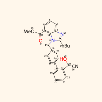 CCCCc1nc2cccc(C(=O)OC)c2n1Cc1ccc(-c2ccccc2C(O)C#N)cc1